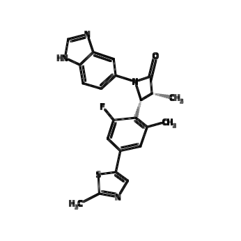 Cc1ncc(-c2cc(C)c([C@H]3[C@@H](C)C(=O)N3c3ccc4[nH]cnc4c3)c(F)c2)s1